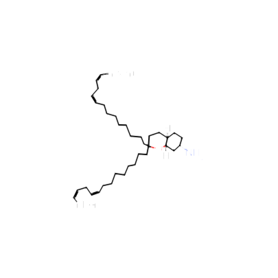 CCCCC/C=C\C/C=C\CCCCCCCCC1(CCCCCCCC/C=C\C/C=C\CCCCC)CC[C@@H]2CC[C@@H](N)C[C@@H]2O1